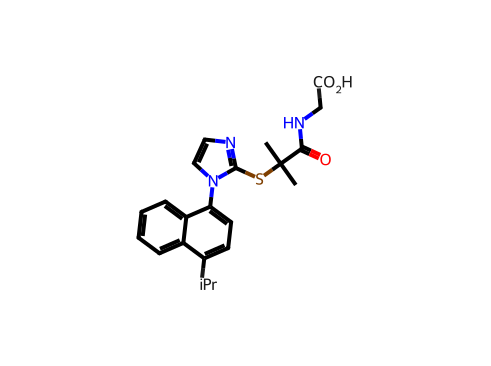 CC(C)c1ccc(-n2ccnc2SC(C)(C)C(=O)NCC(=O)O)c2ccccc12